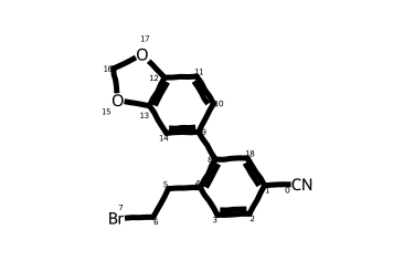 N#Cc1ccc(CCBr)c(-c2ccc3c(c2)OCO3)c1